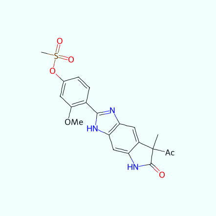 COc1cc(OS(C)(=O)=O)ccc1-c1nc2cc3c(cc2[nH]1)NC(=O)C3(C)C(C)=O